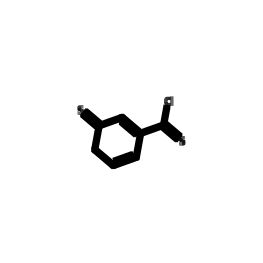 S=C1C=C(C(=S)Cl)C=CC1